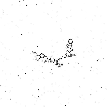 CC[C@H](C)[C@H](NC(=O)CCCCNC(=O)C(Cc1c[nH]cn1)NC(=O)C(N)Cc1ccc(C(=O)OC(C)(C)C)c(N)c1)C(=O)NC(Cc1ccccc1)C(=O)OC